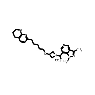 Cc1nn(C)c2c(C(C(=O)O)N3CC(OCCCCCc4ccc5c(n4)NCCC5)C3)cncc12